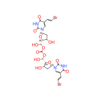 O=C(OC(O)[C@@H]1O[C@H](n2cc(C=CBr)c(=O)[nH]c2=O)CC1O)OC(O)[C@@H]1O[C@H](n2cc(C=CBr)c(=O)[nH]c2=O)CC1O